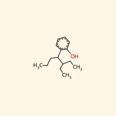 CCCC(c1ccccc1O)C(CC)CC